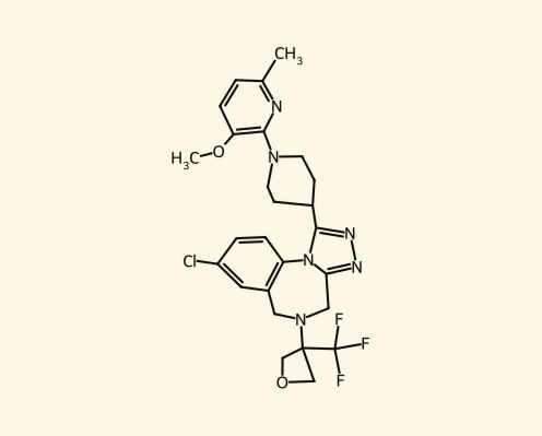 COc1ccc(C)nc1N1CCC(c2nnc3n2-c2ccc(Cl)cc2CN(C2(C(F)(F)F)COC2)C3)CC1